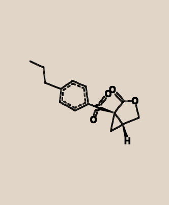 CCCc1ccc(S(=O)(=O)[C@]23C[C@H]2COC3=O)cc1